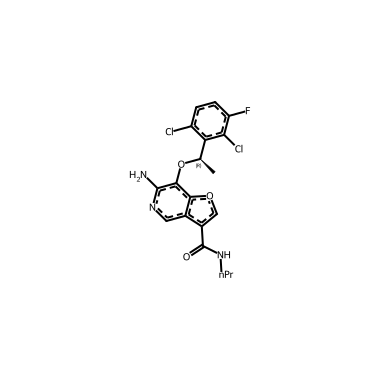 CCCNC(=O)c1coc2c(O[C@H](C)c3c(Cl)ccc(F)c3Cl)c(N)ncc12